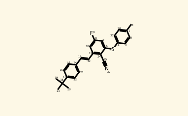 Cc1ccc(Sc2cc(F)cc(/C=C/c3ccc(C(C)(C)C)cc3)c2C#N)cc1